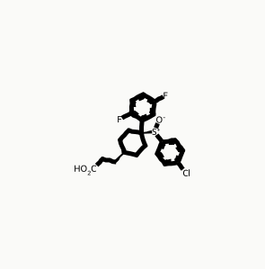 O=C(O)CC[C@H]1CC[C@@](c2cc(F)ccc2F)([S+]([O-])c2ccc(Cl)cc2)CC1